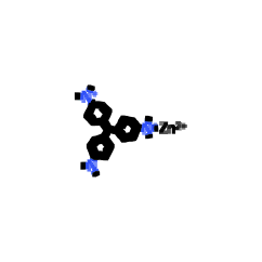 CN(C)c1ccc(C(=C2C=CC(=[N+](C)C)C=C2)c2ccc([N+](C)(C)C)cc2)cc1.[Zn+2]